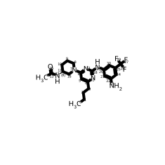 CCCCc1cc(N2CCC[C@@H](NC(C)=O)C2)nc(Nc2cc(N)cc(C(F)(F)F)c2)n1